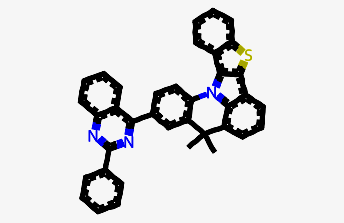 CC1(C)c2cc(-c3nc(-c4ccccc4)nc4ccccc34)ccc2-n2c3c1cccc3c1sc3ccccc3c12